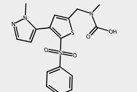 CN(Cc1cc(-c2ccnn2C)c(S(=O)(=O)c2ccccc2)s1)C(=O)O